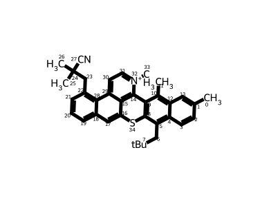 Cc1ccc2c(CC(C)(C)C)c3c(c(C)c2c1)-c1c2c(cc4cccc(CC(C)(C)C#N)c4c2cc[n+]1C)S3